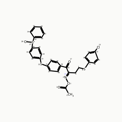 CC(=O)O/N=C(\CCSc1ccc(Cl)cc1)C(=O)c1ccc(Sc2ccc([S+]([O-])c3ccccc3)cc2)cc1